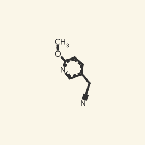 COc1ccc(CC#N)cn1